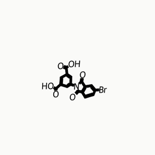 O=C(O)c1cc(C(=O)O)cc(N2C(=O)c3ccc(Br)cc3C2=O)c1